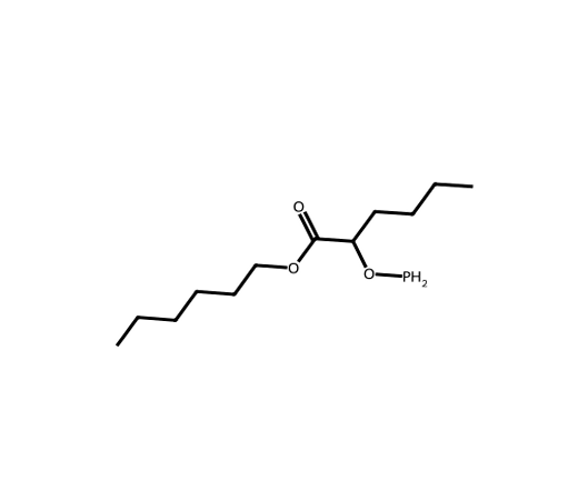 CCCCCCOC(=O)C(CCCC)OP